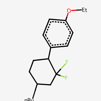 CCCCC1CCC(c2ccc(OCC)cc2)C(F)(F)C1